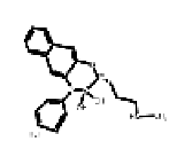 CNCCC[C@H]1Oc2cc3ccccc3cc2N(c2ccccc2)S1(O)O.Cl